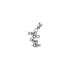 CCN1c2c(C)c(C(=O)NCc3c(C)cc(C)[nH]c3=O)cc(Cl)c2OC1(C)C1CCC(N2CC(F)(F)C2)CC1